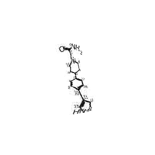 NC(=O)N1CCC(c2ccc(-c3cn[nH]c3)cc2)CC1